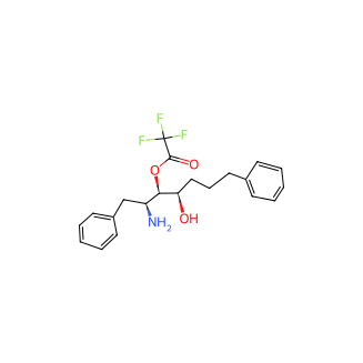 N[C@@H](Cc1ccccc1)[C@@H](OC(=O)C(F)(F)F)[C@H](O)CCCc1ccccc1